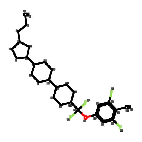 CCCC1CCC(C2CCC(C3CCC(C(F)(F)Oc4cc(F)c(C)c(F)c4)CC3)CC2)C1